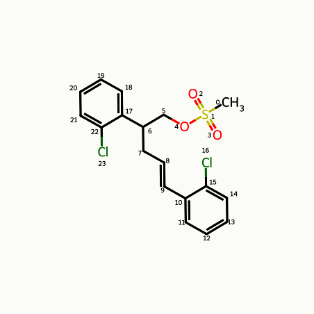 CS(=O)(=O)OCC(C/C=C/c1ccccc1Cl)c1ccccc1Cl